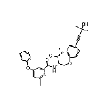 Cc1cc(Oc2ccccc2)cc(C(=O)N[C@H]2COc3ccc(C#CC(C)(C)O)cc3N(C)C2O)n1